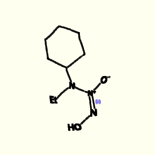 CCN(C1CCCCC1)/[N+]([O-])=N\O